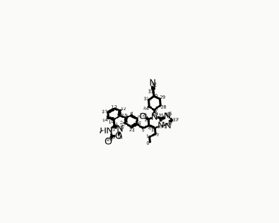 CCCc1c(Cc2ccc(-c3ccccc3-c3noc(=O)[nH]3)cc2)c(=O)n(C2CCC(C#N)CC2)c2ncnn12